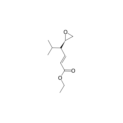 CCOC(=O)/C=C/C(C(C)C)[C@@H]1CO1